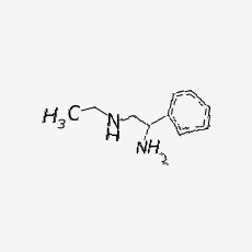 CCNCC(N)c1ccccc1